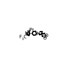 CC(C)n1nc(C(F)(F)F)cc1[C@H]1CC[C@H](N2CCC3(C2)CS(=O)(=O)C3)CC1